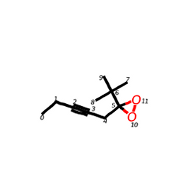 CCC#CCC1(C(C)(C)C)OO1